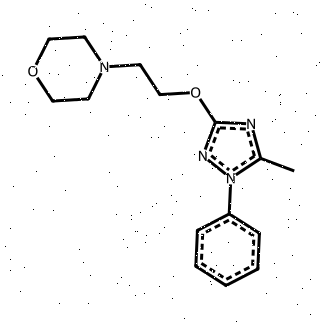 Cc1nc(OCCN2CCOCC2)nn1-c1ccccc1